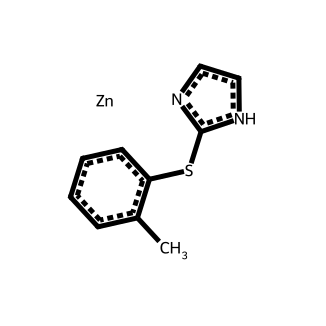 Cc1ccccc1Sc1ncc[nH]1.[Zn]